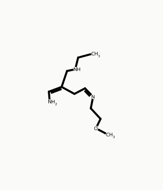 CCNC/C(=C/N)C/C=N\CCOC